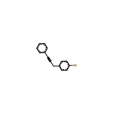 Brc1ccc(CC#Cc2ccccc2)cc1